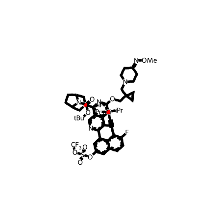 CON=C1CCN(CC2(COc3nc(N4CC5CCC(C4)N5C(=O)OC(C)(C)C)c4cnc(-c5cc(OS(=O)(=O)OC(F)(F)F)cc6ccc(F)c(C#C[Si](C(C)C)(C(C)C)C(C)C)c56)c(F)c4n3)CC2)CC1